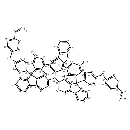 C=Cc1ccc(Oc2ccc(C3(c4c(F)c(F)cc(F)c4F)c4ccccc4-c4ccc(N(c5ccc6c(c5)C(c5ccc(Oc7ccc(C=C)cc7)cc5)(c5c(F)c(F)cc(F)c5F)c5ccccc5-6)c5ccc6c(c5)oc5ccccc56)cc43)cc2)cc1